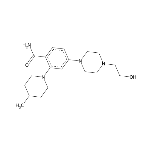 CC1CCN(c2cc(N3CCN(CCO)CC3)ccc2C(N)=O)CC1